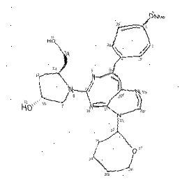 COc1ccc(-c2nc(N3C[C@H](O)C[C@H]3CO)nc3c2ncn3C2CCCCO2)cc1